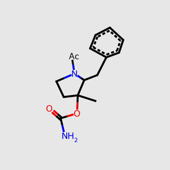 CC(=O)N1CCC(C)(OC(N)=O)C1Cc1ccccc1